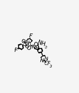 NC(=O)c1ccc(-c2cnc(C(F)(F)F)nc2)cc1CNC(=O)[C@@H]1C[C@@H](F)CN1S(=O)(=O)c1ccc(F)cc1